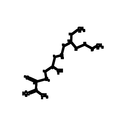 C=C(C)C(=O)OCC(O)COCC(CC)CCCC